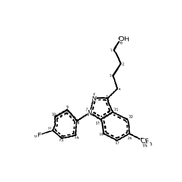 OCCCCc1nn(-c2ccc(F)cc2)c2ccc(C(F)(F)F)cc12